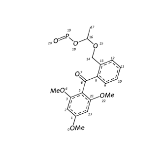 COc1cc(OC)c(C(=O)c2ccccc2COC(C)OP=O)c(OC)c1